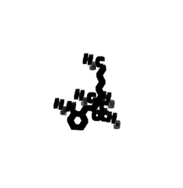 CCCCCCC(C)(C)C(CC1CCCCC1N)OC